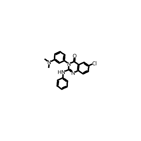 CN(C)c1cccc(-n2c(Nc3ccccc3)nc3ccc(Cl)cc3c2=O)c1